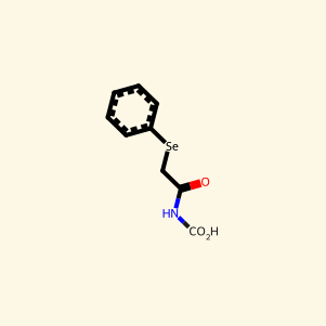 O=C(O)NC(=O)C[Se]c1ccccc1